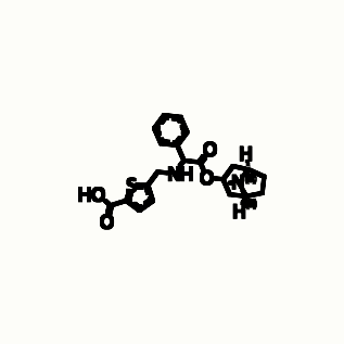 CN1[C@@H]2CC[C@@H]1CC(OC(=O)C(NCc1ccc(C(=O)O)s1)c1ccccc1)C2